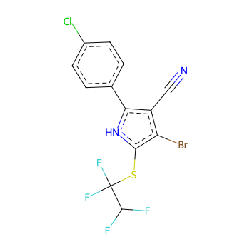 N#Cc1c(-c2ccc(Cl)cc2)[nH]c(SC(F)(F)C(F)F)c1Br